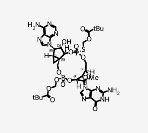 CO[C@H]1[C@H]2O[P@@](=O)(OCOC(=O)C(C)(C)C)OC[C@@]34C[C@@H]3[C@@H](n3cnc5c(N)ncnc53)[C@H](O)[C@@H]4O[P@](=O)(SCOC(=O)C(C)(C)C)OC[C@H]1O[C@H]2n1cnc2c(=O)[nH]c(N)nc21